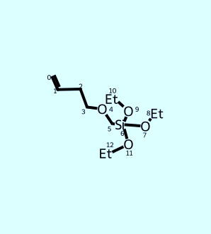 C=CCCOC[Si](OCC)(OCC)OCC